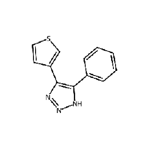 c1ccc(-c2[nH]nnc2-c2ccsc2)cc1